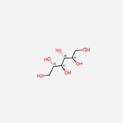 OC[C@@H](O)[C@@H](O)[C@@H](O)[C@@H](O)CO